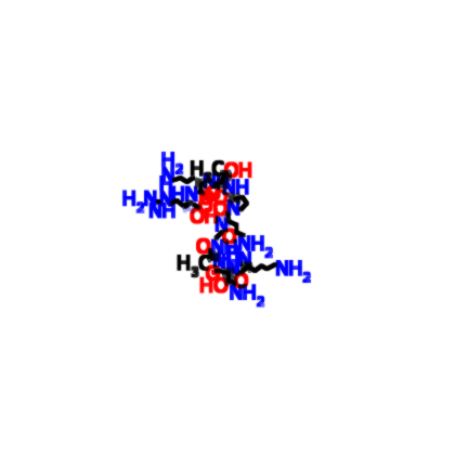 C[C@H](NC(=O)[C@@H](NC(=O)[C@@H](N)CCCCN)[C@@H](O)CN)C(=O)NCC(=O)/N=C(\CCCN)C(=O)N1CCC[C@H]1C(=O)N[C@H](C(=O)N[C@@H](CCCCN)C(=O)N/C(=C\CCNC(=N)N)C(=O)O)[C@@H](C)O